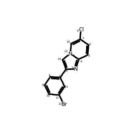 Clc1ccc2nc(-c3cccc(Br)c3)cn2c1